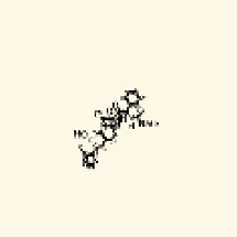 CNC(=O)NC(C(=O)N[C@]1(OC)C(=O)N2C(C(=O)O)=C(CSc3nnnn3C)CS[C@H]21)c1ccccc1